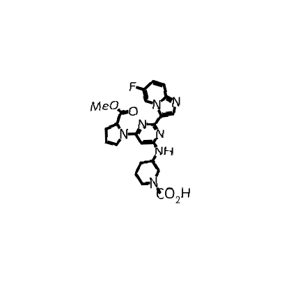 COC(=O)C1CCCN1c1cc(NC2CCCN(C(=O)O)C2)nc(-c2cnc3ccc(F)cn23)n1